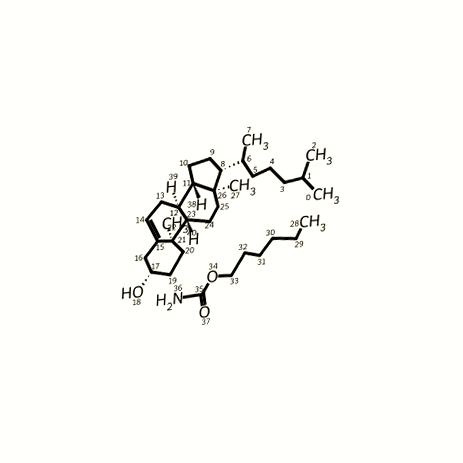 CC(C)CCCC(C)[C@H]1CC[C@H]2[C@@H]3CC=C4C[C@@H](O)CC[C@]4(C)[C@H]3CC[C@]12C.CCCCCCOC(N)=O